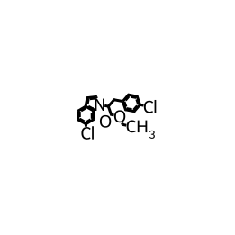 CCOC(=O)C(Cc1ccc(Cl)cc1)n1ccc2ccc(Cl)cc21